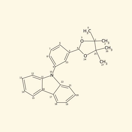 CC1(C)OC(c2cccc(-n3c4ccccc4c4ccccc43)c2)OC1(C)C